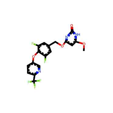 COc1cc(OCc2cc(F)c(Oc3ccc(C(F)(F)F)nc3)c(F)c2)nc(=O)[nH]1